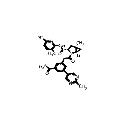 Cc1ncc(-c2cc(CC(=O)N3[C@H](C(=O)Nc4nc(Br)ccc4C)C[C@@]4(C)C[C@@H]34)cc(C(N)=O)c2)cn1